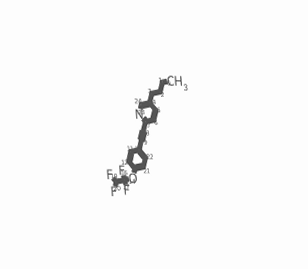 CCCCc1ccc(C#Cc2ccc(OC(F)(F)C(F)F)cc2)nc1